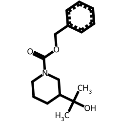 CC(C)(O)C1CCCN(C(=O)OCc2ccccc2)C1